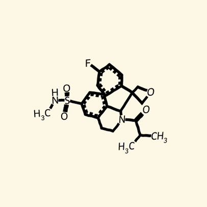 CNS(=O)(=O)c1ccc2c(c1)CCN(C(=O)C(C)C)C2C1(c2ccc(F)cc2)COC1